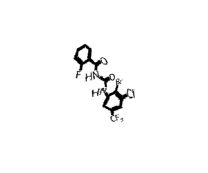 O=C(NC(=O)c1ccccc1F)Nc1cc(C(F)(F)F)cc(Cl)c1Br